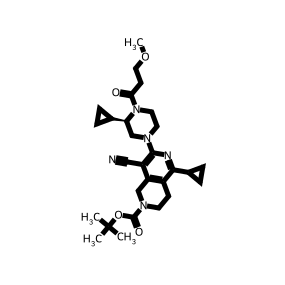 COCCC(=O)N1CCN(c2nc(C3CC3)c3c(c2C#N)CN(C(=O)OC(C)(C)C)CC3)C[C@H]1C1CC1